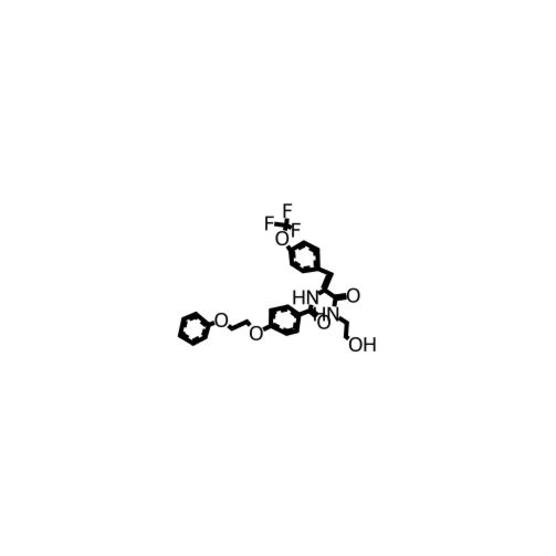 O=C(NCCO)C(=Cc1ccc(OC(F)(F)F)cc1)NC(=O)c1ccc(OCCOc2ccccc2)cc1